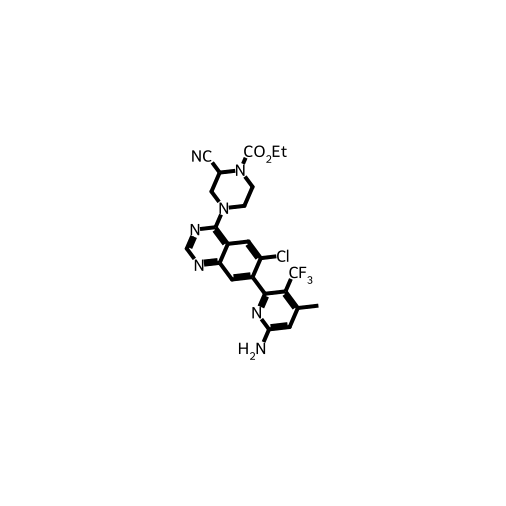 CCOC(=O)N1CCN(c2ncnc3cc(-c4nc(N)cc(C)c4C(F)(F)F)c(Cl)cc23)CC1C#N